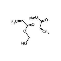 C=CC(=O)OC.C=CC(=O)OCO